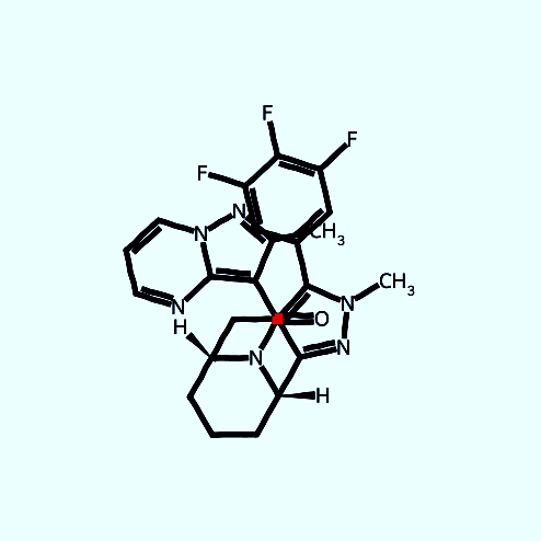 Cc1nn2cccnc2c1C(=O)N1[C@@H]2CCC[C@H]1c1nn(C)c(-c3cc(F)c(F)c(F)c3)c1C2